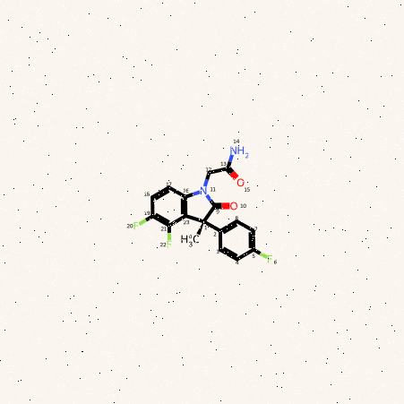 C[C@]1(c2ccc(F)cc2)C(=O)N(CC(N)=O)c2ccc(F)c(F)c21